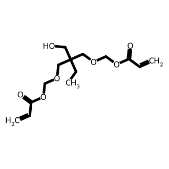 C=CC(=O)OCOCC(CC)(CO)COCOC(=O)C=C